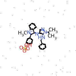 CC(C)n1ncc(N=C2C(c3ccccc3)=[N+](C)c3ccccc32)c1NCc1ccccc1.O=S(=O)([O-])O